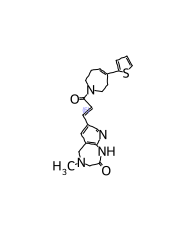 CN1CC(=O)Nc2ncc(/C=C/C(=O)N3CCC=C(c4cccs4)CC3)cc2C1